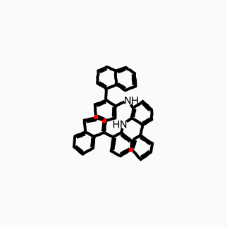 c1ccc(-c2cccc(Nc3ccccc3-c3cccc4ccccc34)c2Nc2ccccc2-c2cccc3ccccc23)cc1